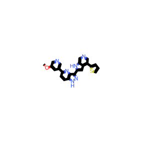 COc1cncc(-c2ccc3[nH]nc(-c4cc5c(-c6cccs6)cncc5[nH]4)c3n2)c1